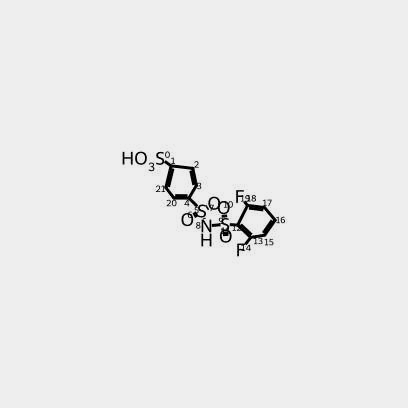 O=S(=O)(O)c1ccc(S(=O)(=O)NS(=O)(=O)c2c(F)cccc2F)cc1